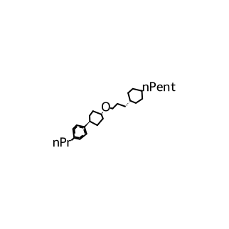 CCCCC[C@H]1CC[C@H](CCCO[C@H]2CC[C@H](c3ccc(CCC)cc3)CC2)CC1